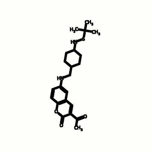 CC(=O)c1cc2cc(NCC3CCC(NSC(C)(C)C)CC3)ccc2oc1=O